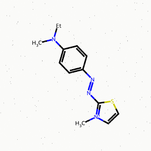 CCN(C)c1ccc(N=Nc2scc[n+]2C)cc1